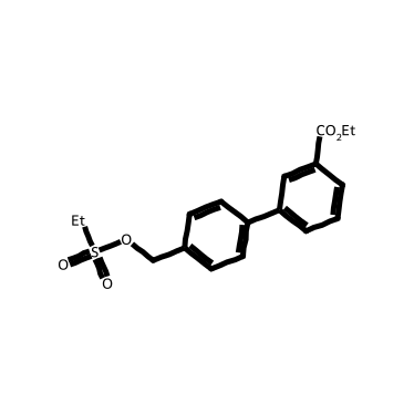 CCOC(=O)c1cccc(-c2ccc(COS(=O)(=O)CC)cc2)c1